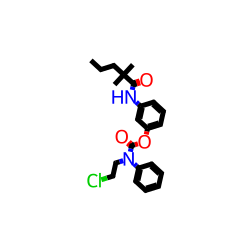 CCCC(C)(C)C(=O)Nc1cccc(OC(=O)N(CCCl)c2ccccc2)c1